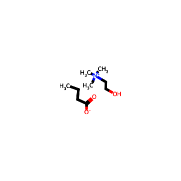 CCCC(=O)[O-].C[N+](C)(C)CCO